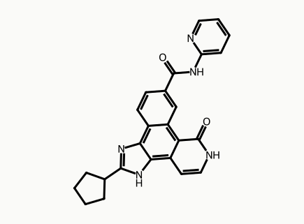 O=C(Nc1ccccn1)c1ccc2c(c1)c1c(=O)[nH]ccc1c1[nH]c(C3CCCC3)nc21